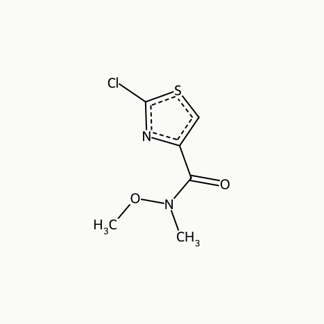 CON(C)C(=O)c1csc(Cl)n1